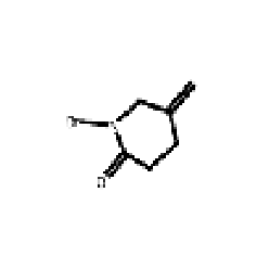 C=C1CCC(=O)N(Br)C1